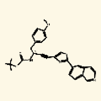 COc1ccc(C[C@@H](C#Cc2csc(-c3ccc4cnccc4c3)n2)NC(=O)OC(C)(C)C)cc1